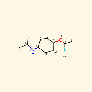 CC(C)N[C@H]1CC[C@@H](OC(C)F)CC1